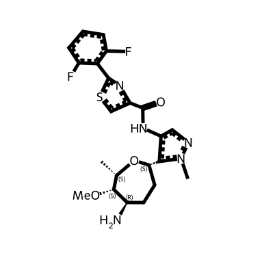 CO[C@H]1[C@H](N)CC[C@@H](c2c(NC(=O)c3csc(-c4c(F)cccc4F)n3)cnn2C)O[C@H]1C